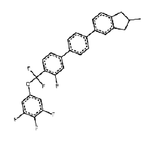 CC1Cc2ccc(-c3ccc(-c4ccc(C(F)(F)Oc5cc(F)c(F)c(F)c5)c(F)c4)cc3)cc2C1